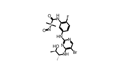 C[C@@H](O)[C@@H](C)Nc1nc(Nc2ccc(F)c(NC(=O)S(C)(C)N=O)c2)ncc1Br